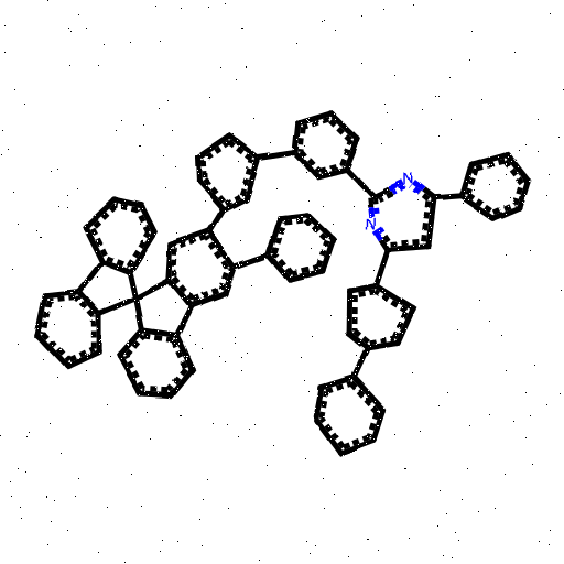 c1ccc(-c2ccc(-c3cc(-c4ccccc4)nc(-c4cccc(-c5cccc(-c6cc7c(cc6-c6ccccc6)-c6ccccc6C76c7ccccc7-c7ccccc76)c5)c4)n3)cc2)cc1